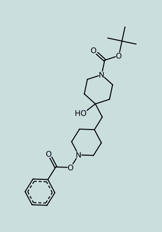 CC(C)(C)OC(=O)N1CCC(O)(CC2CCN(OC(=O)c3ccccc3)CC2)CC1